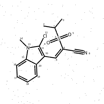 CC(C)S(=O)(=O)C(C#N)=Cc1c(Cl)n(C)c2ccccc12